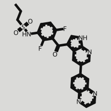 CCCS(=O)(=O)Nc1ccc(F)c(C(=O)c2c[nH]c3ncc(-c4ccc5nccnc5c4)cc23)c1F